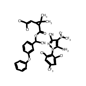 CC1(C)C(C=C(Cl)Cl)C1C(=O)OC(C#N)c1cccc(Oc2ccccc2)c1.N#Cc1nn(-c2c(Cl)cc(C(F)(F)F)cc2Cl)c(N)c1[S+]([O-])C(F)(F)F